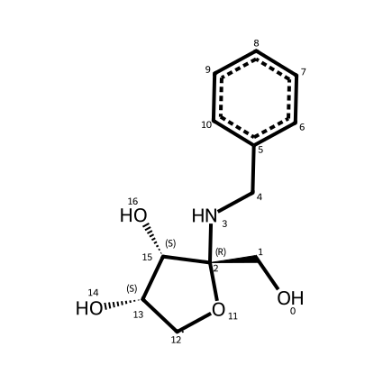 OC[C@@]1(NCc2ccccc2)O[CH][C@H](O)[C@@H]1O